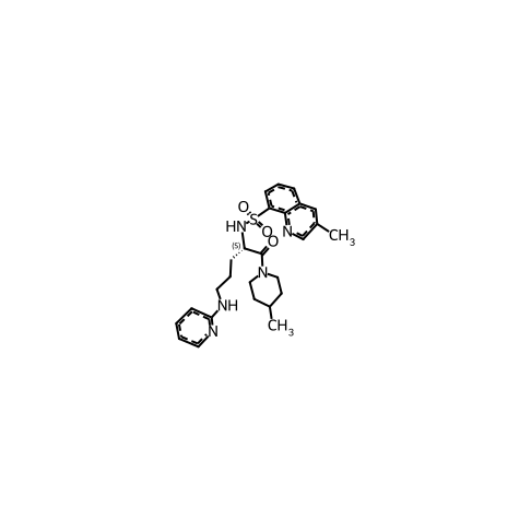 Cc1cnc2c(S(=O)(=O)N[C@@H](CCCNc3ccccn3)C(=O)N3CCC(C)CC3)cccc2c1